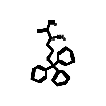 NC(=O)[C@H](N)CCSC(c1ccccc1)(c1ccccc1)c1ccccc1